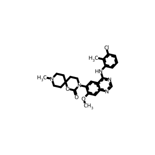 COc1cc2ncnc(Nc3cccc(Cl)c3C)c2cc1N1CCC2(CCN(C)CC2)OC1=O